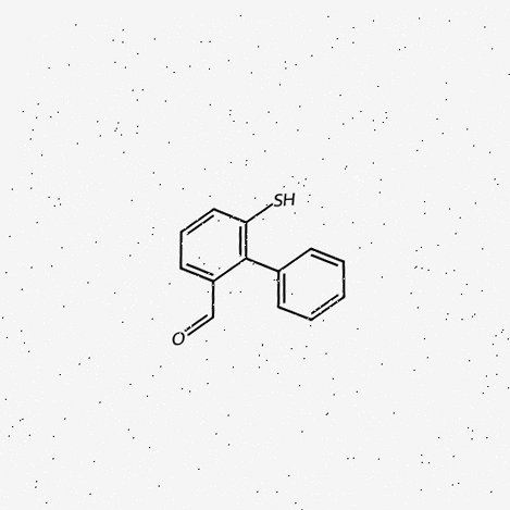 O=Cc1cccc(S)c1-c1ccccc1